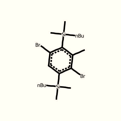 CCCC[Si](C)(C)c1cc(Br)c([Si](C)(C)CCCC)c(C)c1Br